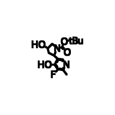 Cc1ncc(C2C[C@@H](O)CN2C(=O)OC(C)(C)C)c(O)c1F